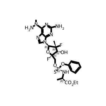 CCOC(=O)[C@@H](C)N[P@](=S)(OC[C@@]1(F)O[C@@H](n2cnc3c(N(C)N)nc(N)nc32)[C@](C)(F)[C@@H]1O)Oc1ccccc1